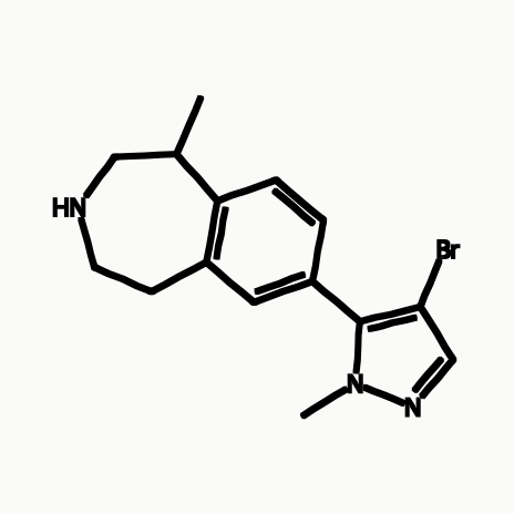 CC1CNCCc2cc(-c3c(Br)cnn3C)ccc21